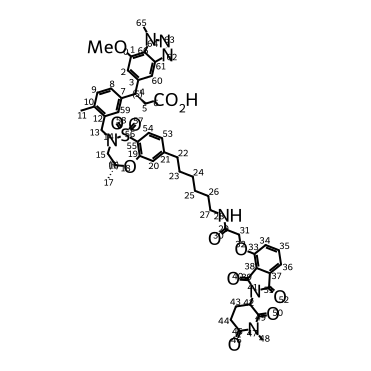 COc1cc([C@@H](CC(=O)O)c2ccc(C)c(CN3C[C@@H](C)Oc4cc(CCCCCCNC(=O)COc5cccc6c5C(=O)N(C5CCC(=O)N(C)C5=O)C6=O)ccc4S3(=O)=O)c2)cc2nnn(C)c12